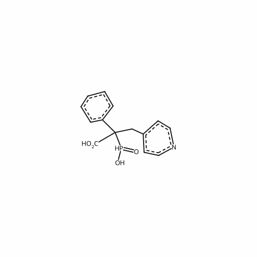 O=C(O)C(Cc1ccncc1)(c1ccccc1)[PH](=O)O